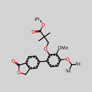 [2H]C([2H])Oc1ccc(-c2ccc3c(c2)COC3=O)c(OCC(C)(C)C(=O)OC(C)C)c1OC